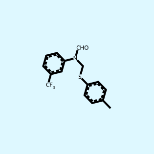 Cc1ccc(SCN(C=O)c2cccc(C(F)(F)F)c2)cc1